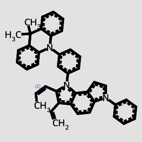 C=Cc1c(/C=C\C)n(-c2cccc(N3c4ccccc4C(C)(C)c4ccccc43)c2)c2c1ccc1c2ccn1-c1ccccc1